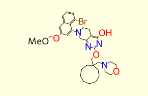 COCOc1cc(N2CCc3c(O)nc(OCC4(CN5CCOCC5)CCCCCCCC4)nc3C2)c2c(Br)cccc2c1